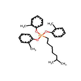 Cc1ccccc1O[PH](CCCCCC(C)C)(Oc1ccccc1C)Oc1ccccc1C